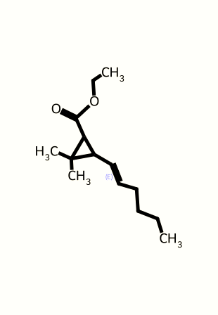 CCCC/C=C/C1C(C(=O)OCC)C1(C)C